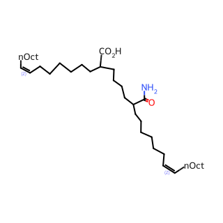 CCCCCCCC/C=C\CCCCCCC(CCCCC(CCCCCC/C=C\CCCCCCCC)C(=O)O)C(N)=O